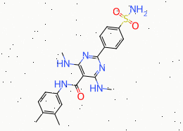 CNc1nc(-c2ccc(S(N)(=O)=O)cc2)nc(NC)c1C(=O)Nc1ccc(C)c(C)c1